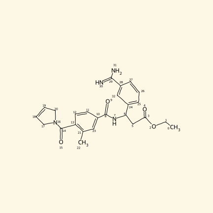 CCOC(=O)CC(NC(=O)c1ccc(C(=O)N2CC=CC2)c(C)c1)c1cccc(C(=N)N)c1